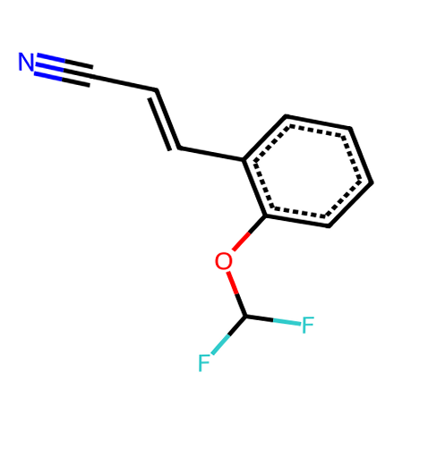 N#CC=Cc1ccccc1OC(F)F